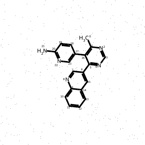 Cc1ncnc(-c2cnc3ccccc3c2)c1-c1ccc(N)nc1